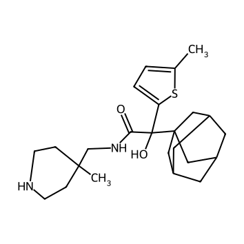 Cc1ccc(C(O)(C(=O)NCC2(C)CCNCC2)C23CC4CC(CC(C4)C2)C3)s1